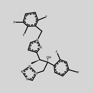 C[C@@H](c1ccn(Cc2c(F)ccc(F)c2F)n1)[C@](O)(Cn1cnnn1)c1ccc(F)cc1F